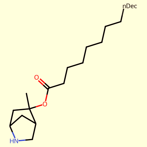 CCCCCCCCCCCCCCCCCC(=O)OC1(C)CC2CC1CN2